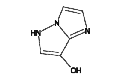 Oc1c[nH]n2ccnc12